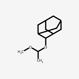 COC(C)OC1C2CC3CC(C2)CC1C3